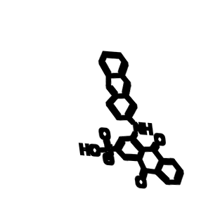 O=C1c2ccccc2C(=O)c2c(Nc3ccc4cc5ccccc5cc4c3)cc(S(=O)(=O)O)cc21